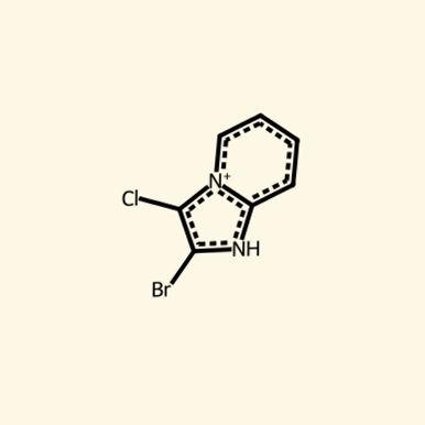 Clc1c(Br)[nH]c2cccc[n+]12